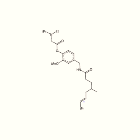 CCN(CC(=O)Oc1ccc(CNC(=O)CCC(C)C/C=C/C(C)C)cc1OC)C(C)C